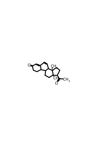 CC(=O)C1CC[C@@]2(C)C3C=CC4=CC(=O)CCC4C3CCC12C